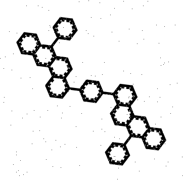 c1ccc(-c2c3ccccc3cc3c2ccc2c(-c4ccc(-c5cccc6c5ccc5c(-c7ccccc7)c7ccccc7cc56)cc4)cccc23)cc1